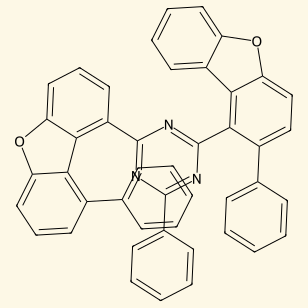 c1ccc(-c2nc(-c3c(-c4ccccc4)ccc4oc5ccccc5c34)nc(-c3cccc4oc5cccc(-c6ccccc6)c5c34)n2)cc1